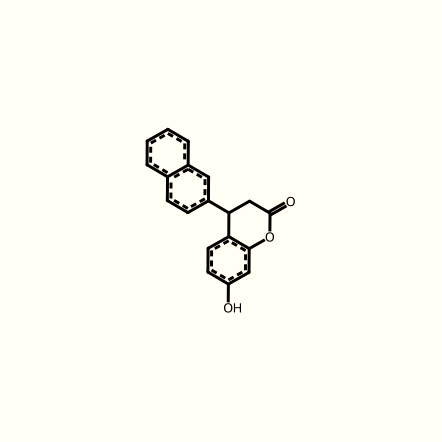 O=C1CC(c2ccc3ccccc3c2)c2ccc(O)cc2O1